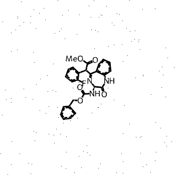 COC(=O)C(C1=N[C@H](NC(=O)OCc2ccccc2)C(=O)Nc2ccccc21)c1ccccc1F